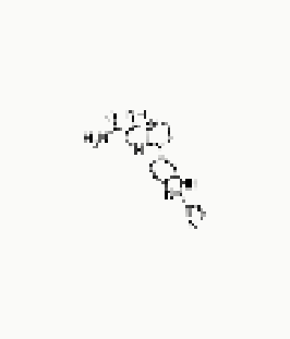 NC(=O)c1nnc2c(-c3ccc4nc(-c5ccsc5)[nH]c4c3)cccc2c1N